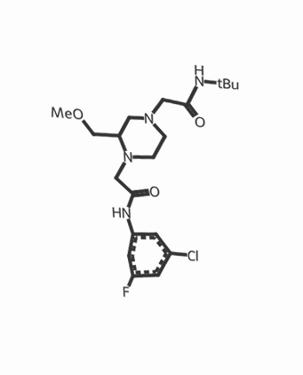 COCC1CN(CC(=O)NC(C)(C)C)CCN1CC(=O)Nc1cc(F)cc(Cl)c1